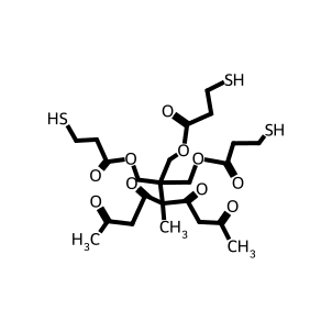 CC(=O)CC(=O)C(C)(C(=O)CC(C)=O)C(COC(=O)CCS)(COC(=O)CCS)COC(=O)CCS